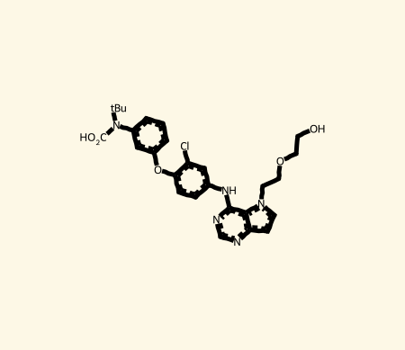 CC(C)(C)N(C(=O)O)c1cccc(Oc2ccc(Nc3ncnc4ccn(CCOCCO)c34)cc2Cl)c1